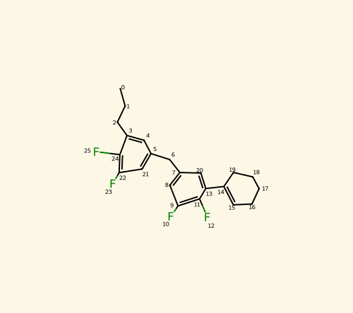 CCCc1cc(Cc2cc(F)c(F)c(C3=CCCCC3)c2)cc(F)c1F